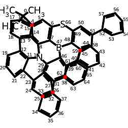 CC(C)(C)c1cc2c3c(c1)N(c1c(-c4ccccc4)cccc1-c1ccccc1)c1cc(-c4ccccc4)cc(-c4ccccc4)c1B3c1c(cc(-c3ccccc3)cc1-c1ccccc1)S2